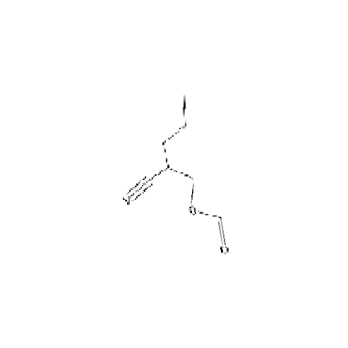 CCCC(C#N)CO[C]=O